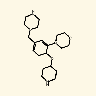 C1=C(CN2CCNCC2)C=C(N2CCOCC2)C(OC2CCNCC2)C1